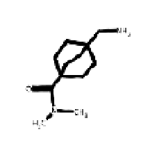 CN(C)C(=O)C12CCC(CN)(CC1)CC2